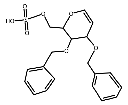 O=S(=O)(O)OCC1OC=CC(OCc2ccccc2)C1OCc1ccccc1